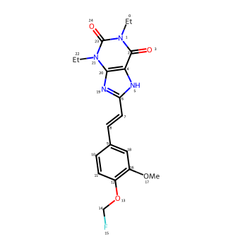 CCn1c(=O)c2[nH]c(C=Cc3ccc(OCF)c(OC)c3)nc2n(CC)c1=O